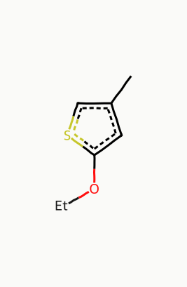 CCOc1cc(C)cs1